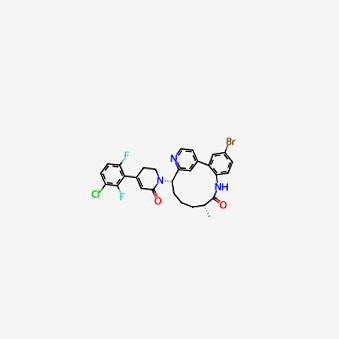 C[C@@H]1CCC[C@H](N2CCC(c3c(F)ccc(Cl)c3F)=CC2=O)c2cc(ccn2)-c2cc(Br)ccc2NC1=O